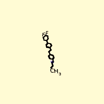 CCC/C=C/c1ccc(CCc2ccc(C3CCC(F)(F)CC3)cc2)cc1